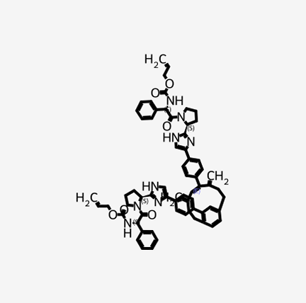 C=CCOC(=O)N[C@H](C(=O)N1CCC[C@H]1c1nc(-c2ccc(/C3=C/C(=C)CCc4ccc(cc4-c4ccc(-c5c[nH]c([C@@H]6CCCN6C(=O)[C@@H](NC(=O)OCC=C)c6ccccc6)n5)cc4)CCC3=C)cc2)c[nH]1)c1ccccc1